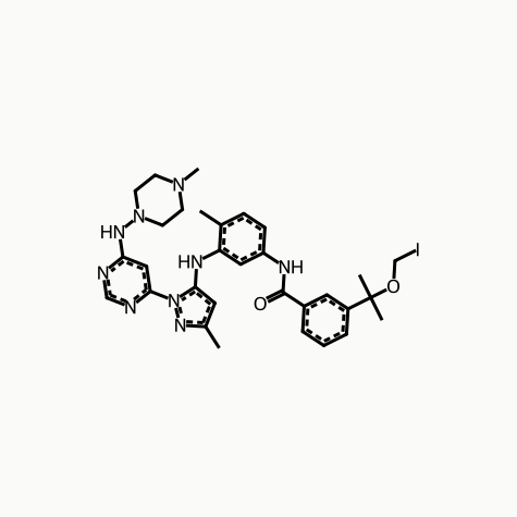 Cc1cc(Nc2cc(NC(=O)c3cccc(C(C)(C)OCI)c3)ccc2C)n(-c2cc(NN3CCN(C)CC3)ncn2)n1